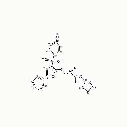 O=C(CSc1oc(-c2ccccc2)nc1S(=O)(=O)c1ccc(Cl)cc1)NCc1ccco1